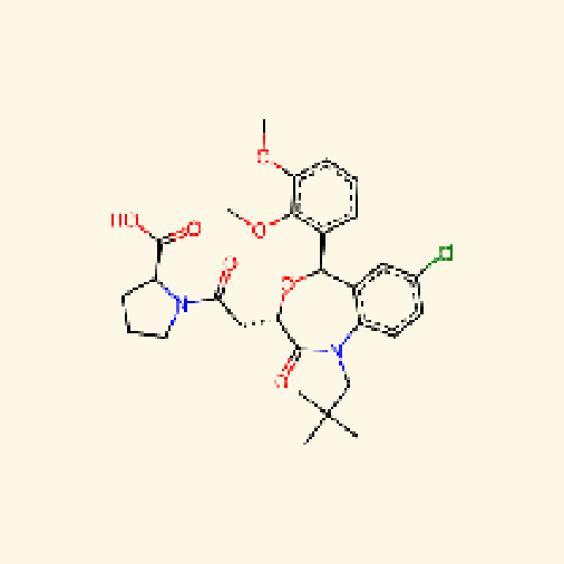 COc1cccc([C@@H]2O[C@@H](CC(=O)N3CCC[C@H]3C(=O)O)C(=O)N(CC(C)(C)C)c3ccc(Cl)cc32)c1OC